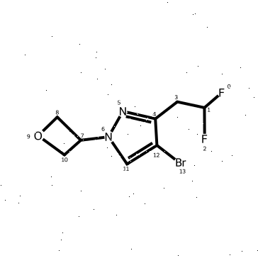 FC(F)Cc1nn(C2COC2)cc1Br